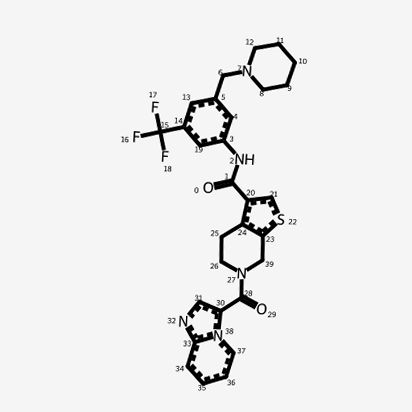 O=C(Nc1cc(CN2CCCCC2)cc(C(F)(F)F)c1)c1csc2c1CCN(C(=O)c1cnc3ccccn13)C2